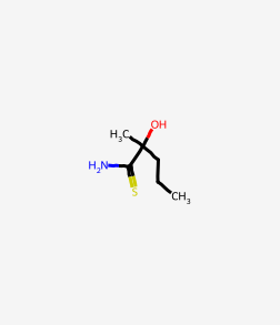 CCCC(C)(O)C(N)=S